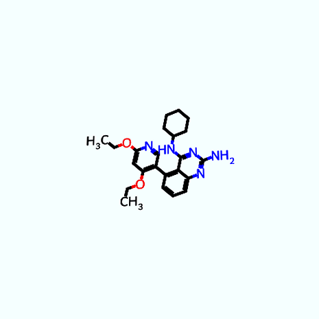 CCOc1cc(OCC)c(-c2cccc3nc(N)nc(NC4CCCCC4)c23)cn1